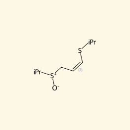 CC(C)S/C=C\C[S+]([O-])C(C)C